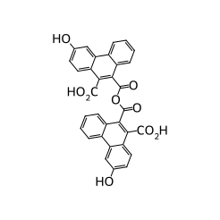 O=C(O)c1c(C(=O)OC(=O)c2c(C(=O)O)c3ccc(O)cc3c3ccccc23)c2ccccc2c2cc(O)ccc12